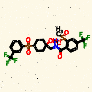 CS(=O)(=O)c1cc(C(F)(F)F)ccc1C(=O)NC[C@]1(O)CC[C@@H](S(=O)(=O)c2cccc(C(F)(F)F)c2)CC1